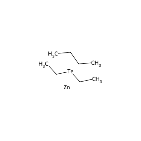 CCCC.CC[Te]CC.[Zn]